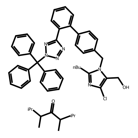 CC(C)C(C)C(=O)C(C)C(C)C.CCCCc1nc(Cl)c(CO)n1Cc1ccc(-c2ccccc2-c2nnn(C(c3ccccc3)(c3ccccc3)c3ccccc3)n2)cc1